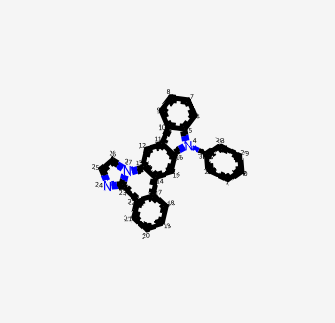 c1ccc(-n2c3ccccc3c3cc4c(cc32)c2ccccc2c2nccn42)cc1